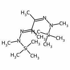 CC(=NN(C)[Si](C)(C)C)C(C)=NN(C)[Si](C)(C)C